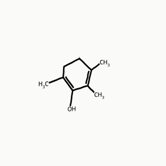 CC1=C(C)C(O)=C(C)C[CH]1